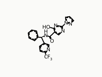 O=C(N[C@H](c1ccccc1)c1ccc(C(F)(F)F)nc1)c1cnc(-n2cccn2)nc1O